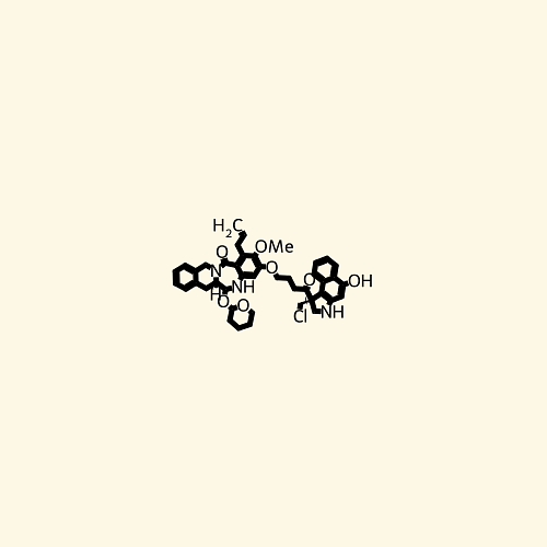 C=CCc1c(OC)c(OCCCC(=O)[C@@]2(CCl)CNc3cc(O)c4ccccc4c32)cc2c1C(=O)N1Cc3ccccc3C[C@H]1C(OC1CCCCO1)N2